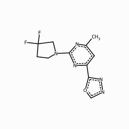 Cc1cc(-c2nnco2)nc(N2CCC(F)(F)C2)n1